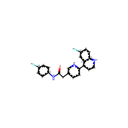 O=C(Cc1ccc(-c2ccnc3ccc(F)cc23)nc1)Nc1ccc(F)cc1